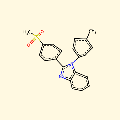 Cc1ccc(-n2c(-c3ccc(S(C)(=O)=O)cc3)nc3ccccc32)cc1